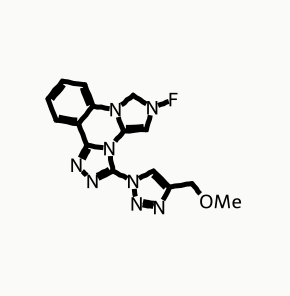 COCc1cn(-c2nnc3n2C2=CN(F)CN2c2ccccc2-3)nn1